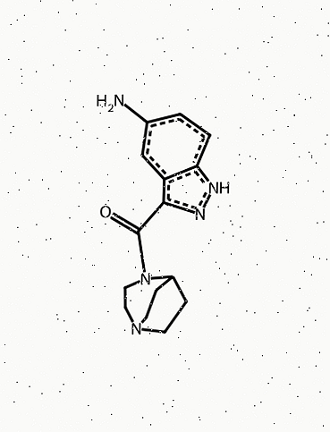 Nc1ccc2[nH]nc(C(=O)N3CCN4CCC3CC4)c2c1